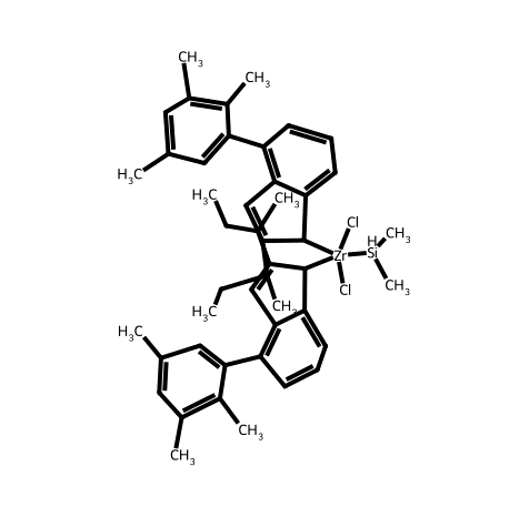 CCC(C)C1=Cc2c(-c3cc(C)cc(C)c3C)cccc2[CH]1[Zr]([Cl])([Cl])([CH]1C(C(C)CC)=Cc2c(-c3cc(C)cc(C)c3C)cccc21)[SiH](C)C